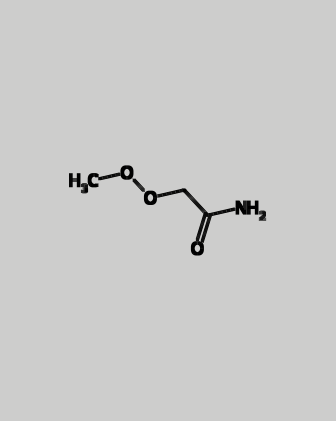 COOCC(N)=O